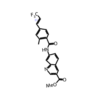 COC(=O)c1cnc2cc(NC(=O)c3ccc(/C=C/C(F)(F)F)cc3C)ccc2c1